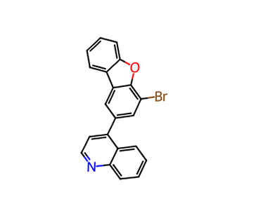 Brc1cc(-c2ccnc3ccccc23)cc2c1oc1ccccc12